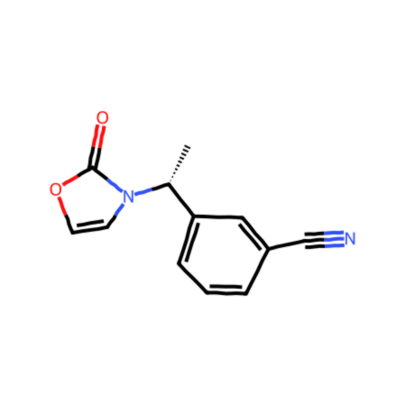 C[C@H](c1cccc(C#N)c1)n1ccoc1=O